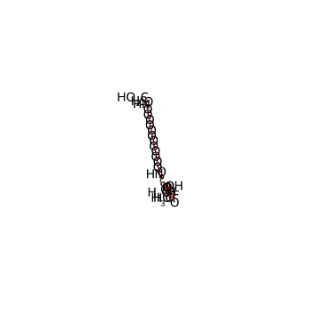 C[C@]12C=CC(=O)C=C1[C@@H](F)C[C@H]1C3C[C@H]4O[C@@H](c5ccc(Cc6cccc(NC(=O)CCOCCOCCOCCOCCOCCOCCOCCOCCOCCOCCOCCOCCNC(=O)C(S)CC(=O)O)c6)cc5)O[C@@]4(C(=O)CO)[C@@]3(C)C[C@H](O)[C@@]12F